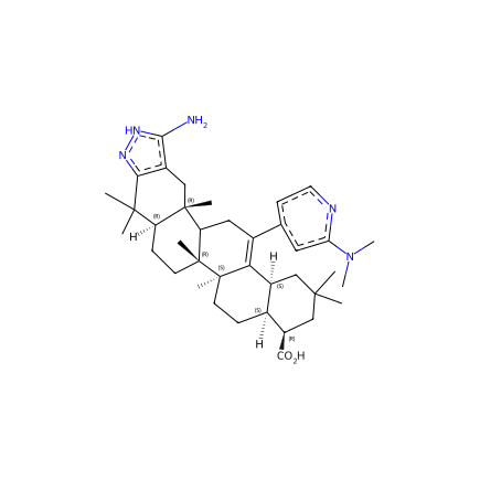 CN(C)c1cc(C2=C3[C@H]4CC(C)(C)C[C@@H](C(=O)O)[C@H]4CC[C@@]3(C)[C@]3(C)CC[C@H]4C(C)(C)c5n[nH]c(N)c5C[C@]4(C)C3C2)ccn1